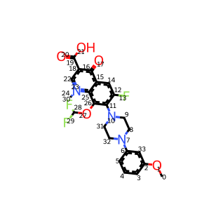 COc1cccc(N2CCN(c3c(F)cc4c(=O)c(C(=O)O)cn(C)c4c3OC(F)F)CC2)c1